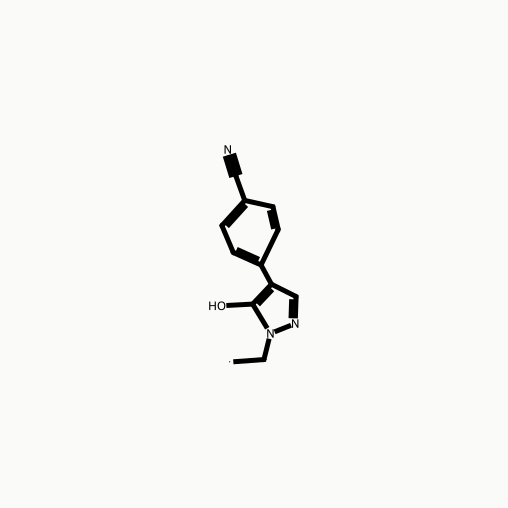 [CH2]Cn1ncc(-c2ccc(C#N)cc2)c1O